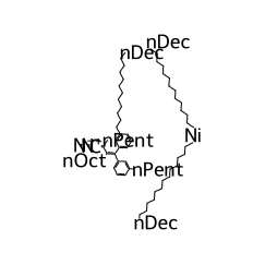 CCCCCCCCCCCCCCCCCCCCCCC[CH2][Ni][CH2]CCCCCCCCCCCCCCCCCCCCCCC.CCCCCCCCCCCCCCCCCCCCCc1cccc(C(=C(CCCCCCCC)C(=C=[N+]=[N-])CCCCC)c2cccc(CCCCC)c2)c1